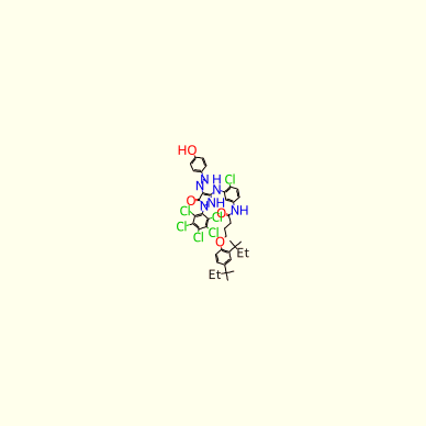 CCC(C)(C)c1ccc(OCCCC(=O)Nc2ccc(Cl)c(Nc3[nH]n(-c4c(Cl)c(Cl)c(Cl)c(Cl)c4Cl)c(=O)c3N=Nc3ccc(O)cc3)c2)c(C(C)(C)CC)c1